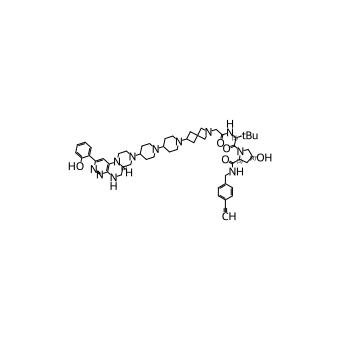 C#Cc1ccc(CNC(=O)[C@@H]2C[C@@H](O)CN2C(=O)[C@@H](NC(=O)CN2CC3(CC(N4CCC(N5CCC(N6CCN7c8cc(-c9ccccc9O)nnc8NC[C@H]7C6)CC5)CC4)C3)C2)C(C)(C)C)cc1